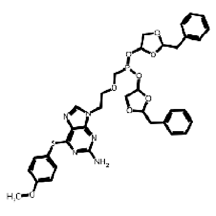 COc1ccc(Sc2nc(N)nc3c2ncn3CCOCP(OC2COC(Cc3ccccc3)O2)OC2COC(Cc3ccccc3)O2)cc1